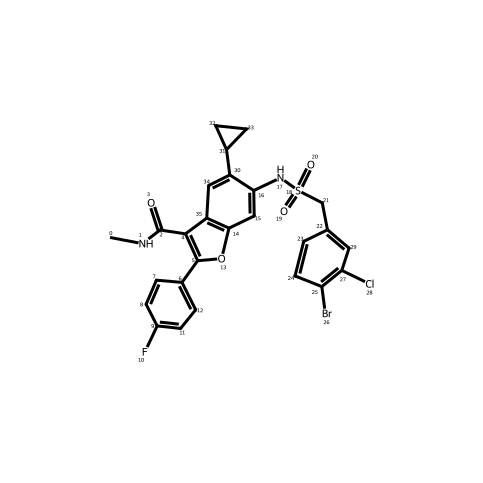 CNC(=O)c1c(-c2ccc(F)cc2)oc2cc(NS(=O)(=O)Cc3ccc(Br)c(Cl)c3)c(C3CC3)cc12